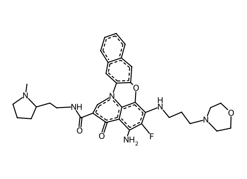 CN1CCCC1CCNC(=O)c1cn2c3c(c(NCCCN4CCOCC4)c(F)c(N)c3c1=O)Oc1cc3ccccc3cc1-2